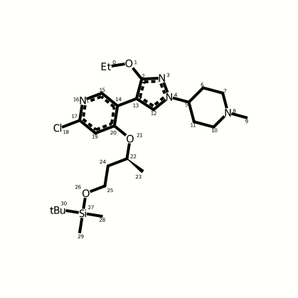 CCOc1nn(C2CCN(C)CC2)cc1-c1cnc(Cl)cc1O[C@@H](C)CCO[Si](C)(C)C(C)(C)C